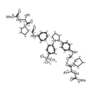 CC[Si](C)(C)c1ccc(N2[C@H](c3ccc(NC(=O)[C@@H]4CCCN4C(=O)[C@@H](NC(=O)OC)C(C)C)cc3)CC[C@H]2c2ccc(NC(=O)[C@@H]3CCCN3C(=O)[C@@H](NC(=O)OC)C(C)C)cc2)cc1